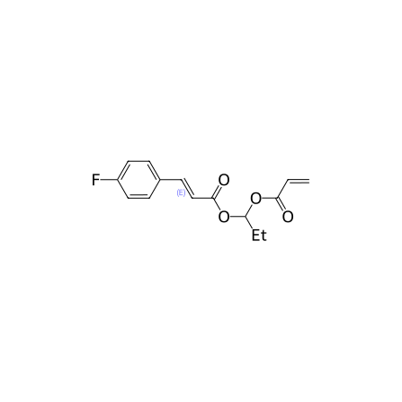 C=CC(=O)OC(CC)OC(=O)/C=C/c1ccc(F)cc1